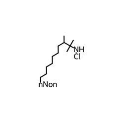 CCCCCCCCCCCCCCCCC(C)C(C)(C)NCl